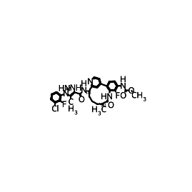 COC(=O)Nc1ccc2c(c1F)NC(=O)[C@H](C)CCC[C@H](NC(=O)C1=C(C)N(c3cccc(Cl)c3F)NN1)c1cc-2ccn1